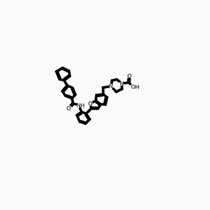 O=C(Nc1ccccc1-c1cc2ccc(CN3CCN(C(=O)O)CC3)cc2o1)c1ccc(-c2ccccc2)cc1